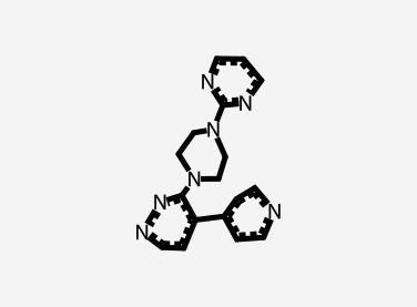 c1cnc(N2CCN(c3nnccc3-c3ccncc3)CC2)nc1